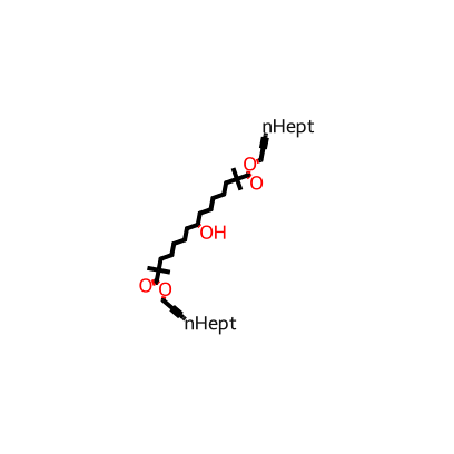 CCCCCCCC#CCOC(=O)C(C)(C)CCCCCC(O)CCCCCC(C)(C)C(=O)OCC#CCCCCCCC